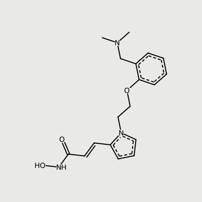 CN(C)Cc1ccccc1OCCn1cccc1C=CC(=O)NO